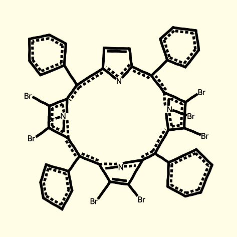 BrC1=C(Br)c2nc1c(-c1ccccc1)c1c(Br)c(Br)c(c(-c3ccccc3)c3nc(c(-c4ccccc4)c4c(Br)c(Br)c(c2-c2ccccc2)n4Br)C=C3)n1Br